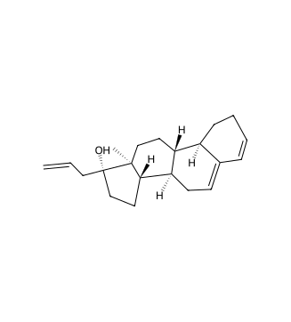 C=CC[C@]1(O)CC[C@H]2[C@@H]3CC=C4C=CCC[C@@H]4[C@H]3CC[C@@]21C